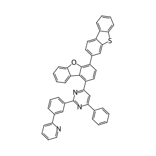 c1ccc(-c2cc(-c3ccc(-c4ccc5c(c4)sc4ccccc45)c4oc5ccccc5c34)nc(-c3cccc(-c4ccccn4)c3)n2)cc1